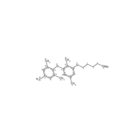 COCCCCOc1cc(C)nc(Oc2c(C)cc(C)cc2C)c1C